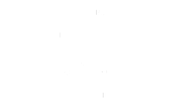 CCCCCC(I)C(=O)OCC